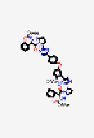 COC(=O)NC(C(=O)N1CCC[C@H]1c1nc(-c2ccc(Oc3ccc(OC)c(-c4cnc([C@@H]5CCCN5C(=O)C(NC(=O)OC)c5ccccc5)[nH]4)c3)cc2)c[nH]1)c1ccccc1